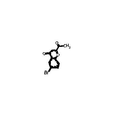 CC(=O)c1cc(=O)c2cc(Br)ccc2o1